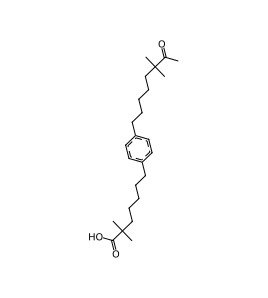 CC(=O)C(C)(C)CCCCCc1ccc(CCCCCC(C)(C)C(=O)O)cc1